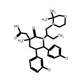 CCC(CN1CCOCC1(C)C)N1C(=O)C(C)(CC(=O)O)CC(c2cccc(Cl)c2)C1c1ccc(Cl)cc1